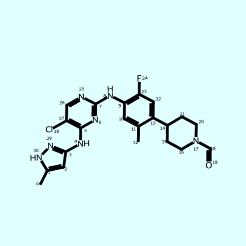 Cc1cc(Nc2nc(Nc3cc(C)c(C4CCN(C=O)CC4)cc3F)ncc2Cl)n[nH]1